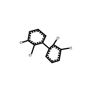 Clc1cccc(-c2cccc(Cl)c2Cl)c1Cl